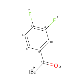 CC(C)(C)C(=O)c1ccc(F)c(F)c1